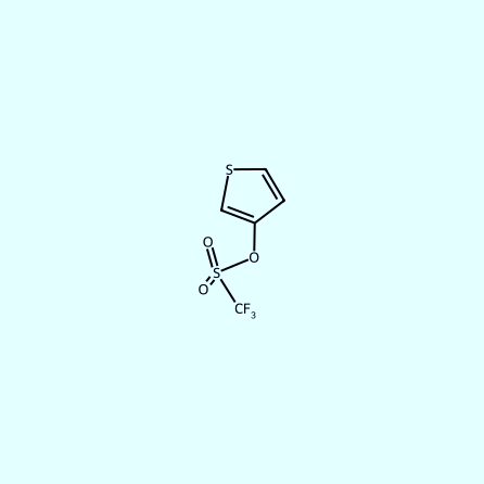 O=S(=O)(Oc1ccsc1)C(F)(F)F